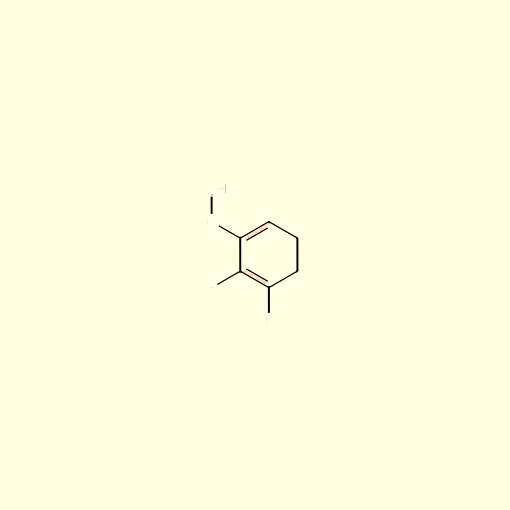 COC1=CC[CH]C(F)=C1F